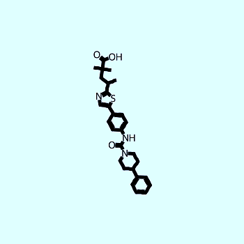 CC(CC(C)(C)C(=O)O)c1ncc(-c2ccc(NC(=O)N3CCC(c4ccccc4)CC3)cc2)s1